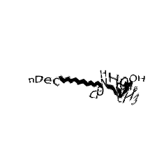 CCCCCCCCCCCCCCCCCCCCCC(=O)NCCC[N+](C)(C)CC(O)CO.[Cl-]